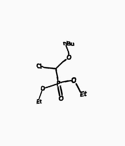 CCCCOC(Cl)P(=O)(OCC)OCC